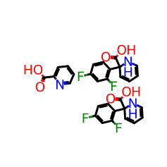 O=C(O)C1(c2ccc(F)cc2F)C=CC=CN1.O=C(O)C1(c2ccc(F)cc2F)C=CC=CN1.O=C(O)c1ccccn1